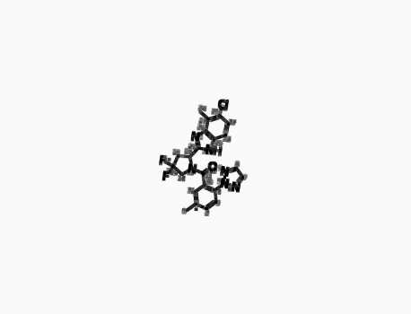 Cc1ccc(-n2nccn2)c(C(=O)N2CC(F)(F)CC2c2nc3c(C)c(Cl)ccc3[nH]2)c1